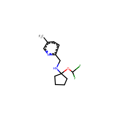 FC(F)OC1(NCc2ccc(C(F)(F)F)cn2)CCCC1